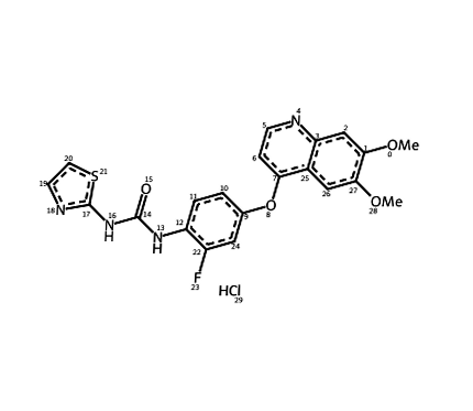 COc1cc2nccc(Oc3ccc(NC(=O)Nc4nccs4)c(F)c3)c2cc1OC.Cl